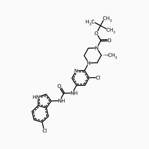 C[C@@H]1CN(c2ncc(NC(=O)Nc3c[nH]c4ccc(Cl)cc34)cc2Cl)CCN1C(=O)OC(C)(C)C